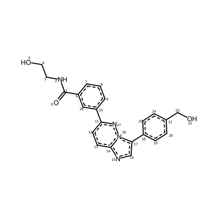 O=C(NCCO)c1cccc(-c2ccc3ncc(-c4ccc(CO)cc4)n3n2)c1